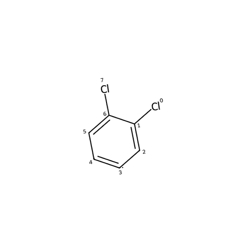 Clc1c[c]ccc1Cl